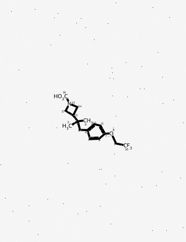 CC(C)(Cc1ccc(OCC(F)(F)F)cc1)C1CN(C(=O)O)C1